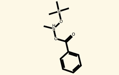 C[SiH](OC(=O)c1ccccc1)O[Si](C)(C)C